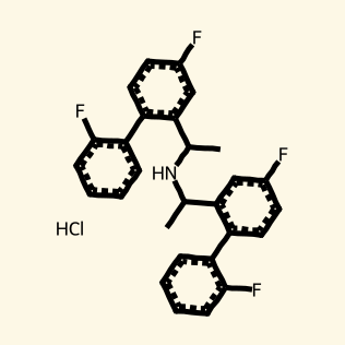 CC(NC(C)c1cc(F)ccc1-c1ccccc1F)c1cc(F)ccc1-c1ccccc1F.Cl